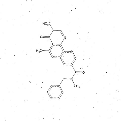 Cc1cc2cc(C(=O)N(C)Cc3ccccc3)cnc2c2c1C(=O)C(C(=O)O)C=N2